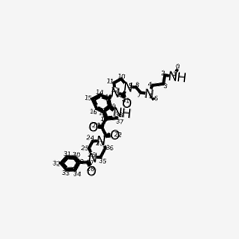 CNCCCN(C)CCN1CCN(c2cccc3c(C(=O)C(=O)N4CCN(C(=O)c5ccccc5)CC4)c[nH]c23)C1=O